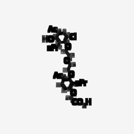 CCCc1c(O)c(C(C)=O)cc(Cl)c1OCCOCCOc1c(C(C)=O)ccc(OCC(=O)O)c1CCC